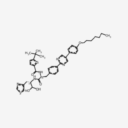 CCCCCCCOc1ccc(-c2cnc(-c3ccc(C[C@H](NC(=O)c4ccc(C(C)(C)C)s4)C(=O)N[C@@H](Cc4cscn4)C(O)O)cc3)nc2)cc1